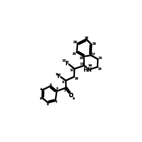 O=C(c1ccccc1)C(F)CC(F)C1NCCc2ccccc21